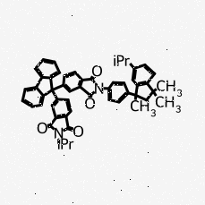 CC(C)c1ccc2c(c1)C(C)(c1ccc(N3C(=O)c4ccc(C5(c6ccc7c(c6)C(=O)N(C(C)C)C7=O)c6ccccc6-c6ccccc65)cc4C3=O)cc1)CC2(C)C